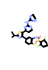 CC(C)c1nc(-c2ccc(F)c(NS(=O)(=O)c3c(F)cccc3F)c2)c(-c2ccnc(Nc3ncc[nH]3)n2)s1